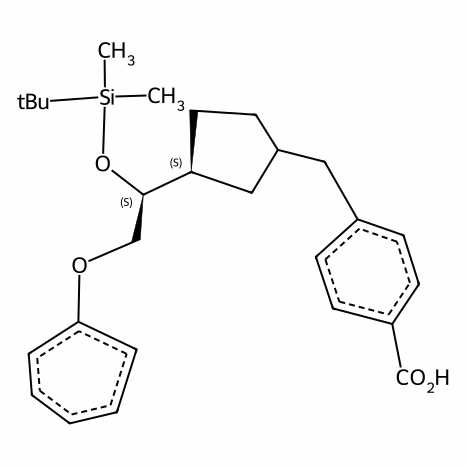 CC(C)(C)[Si](C)(C)O[C@H](COc1ccccc1)[C@H]1CCC(Cc2ccc(C(=O)O)cc2)C1